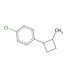 CC1CCC1c1ccc(Cl)cc1